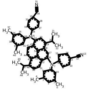 Cc1cc(C)cc(N(c2ccc(C#N)cc2)c2cc3c(C(C)C)cc(N(c4ccc(C#N)cc4)c4cc(C)cc(C)c4)c4ccc5c(C(C)C)ccc2c5c34)c1